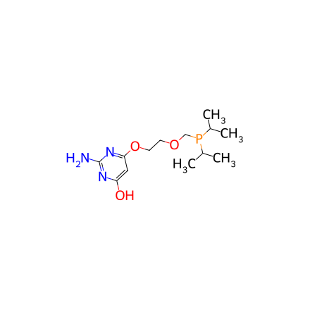 CC(C)P(COCCOc1cc(O)nc(N)n1)C(C)C